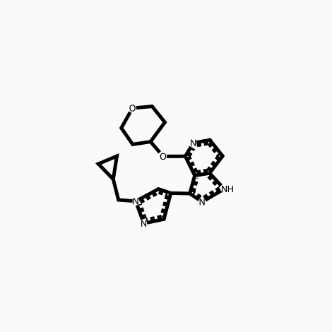 c1cc2[nH]nc(-c3cnn(CC4CC4)c3)c2c(OC2CCOCC2)n1